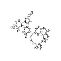 C[C@@H]1CCC[C@H](n2cnc(-c3c(-n4cc(C#N)cn4)ccc(Cl)c3F)cc2=O)c2cc(ccn2)-c2c(cnn2C(F)F)NC1=O